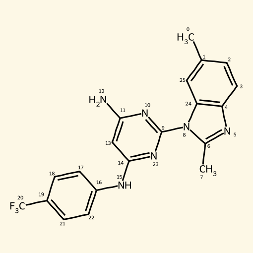 Cc1ccc2nc(C)n(-c3nc(N)cc(Nc4ccc(C(F)(F)F)cc4)n3)c2c1